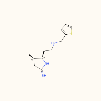 C[C@@H]1CC(=N)N[C@@H]1CCNCc1cccs1